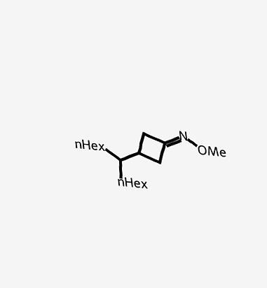 CCCCCCC(CCCCCC)C1CC(=NOC)C1